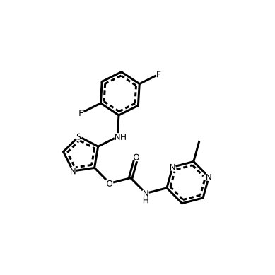 Cc1nccc(NC(=O)Oc2ncsc2Nc2cc(F)ccc2F)n1